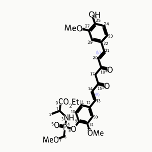 CCOC(=O)C(C)NP(=O)(COC)Oc1ccc(/C=C/C(=O)CC(=O)/C=C/c2ccc(O)c(OC)c2)cc1OC